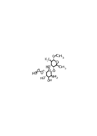 CO[C@@H]1O[C@@H](C)[C@@H](O[C@H]2O[C@@H](COOO)[C@@H](O)[C@H](O)C2N)[C@H](O)C1C